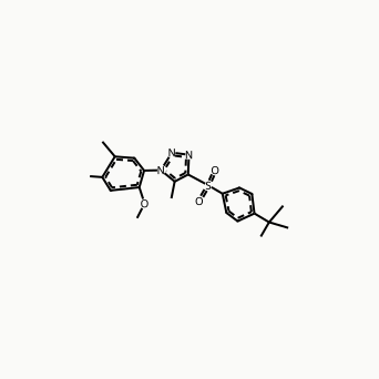 COc1cc(C)c(C)cc1-n1nnc(S(=O)(=O)c2ccc(C(C)(C)C)cc2)c1C